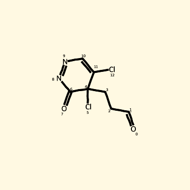 O=[C]CCC1(Cl)C(=O)N=NC=C1Cl